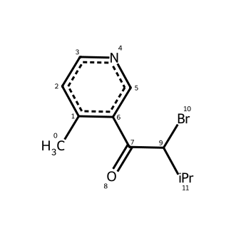 Cc1ccncc1C(=O)C(Br)C(C)C